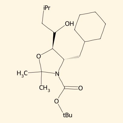 CC(C)CC(O)[C@@H]1OC(C)(C)N(C(=O)OC(C)(C)C)[C@H]1CC1CCCCC1